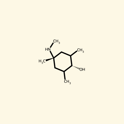 CN[C@]1(C)CC(C)[C@H](O)C(C)C1